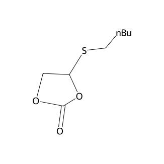 CCCCCSC1COC(=O)O1